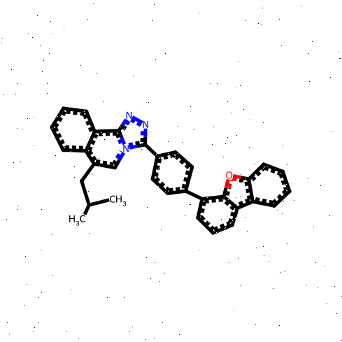 CC(C)Cc1cn2c(-c3ccc(-c4cccc5c4oc4ccccc45)cc3)nnc2c2ccccc12